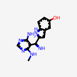 CNc1ncnc(N)c1C(=N)c1cc2cc(O)ccc2[nH]1